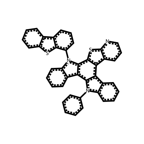 c1ccc(-n2c3ccccc3c3c4c5cccnc5sc4c4c(c5ccccc5n4-c4cccc5c4sc4ccccc45)c32)cc1